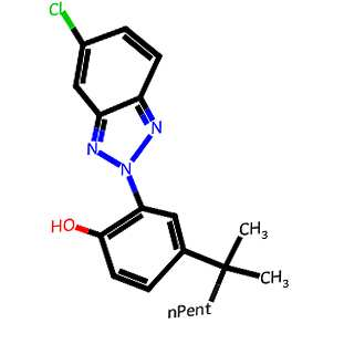 CCCCCC(C)(C)c1ccc(O)c(-n2nc3ccc(Cl)cc3n2)c1